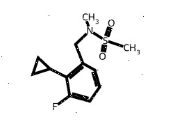 CN(Cc1[c]ccc(F)c1C1CC1)S(C)(=O)=O